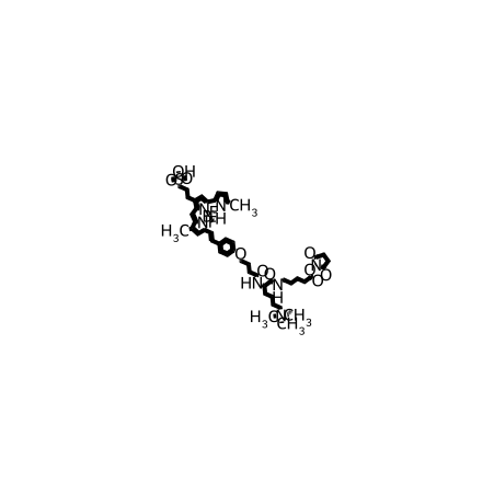 CC1=CC(/C=C/c2ccc(OCCCC(=O)NC(CCCC[N+](C)(C)C)C(=O)NCCCCC(=O)ON3C(=O)CCC3=O)cc2)=[N+]2C1=Cc1c(CCCS(=O)(=O)O)cc(-c3ccc(C)[nH]3)n1[B-]2(F)F